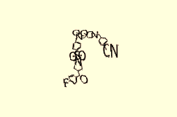 N#Cc1ccc(CN2CCC3(CC2)CN(Cc2ccc(S(=O)(=O)N4CCC(C(=O)c5ccc(F)cc5)CC4)cc2)C(=O)O3)cc1